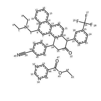 CCN(CC)Cc1cc2c3c(ccc2c2ccccc12)C(c1cccc(C(F)(F)F)c1)C(=O)CC3c1ccc(C#N)cc1.CCOC(=O)c1cncnc1